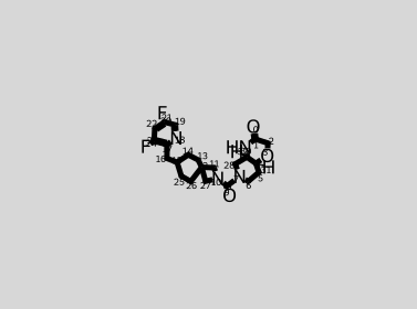 O=C1CO[C@H]2CCN(C(=O)N3CC4(CCC(Cc5ncc(F)cc5F)CC4)C3)C[C@H]2N1